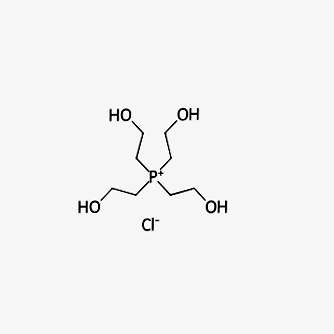 OCC[P+](CCO)(CCO)CCO.[Cl-]